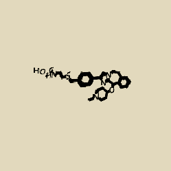 CN1CCC(OC2c3ccccc3CCn3cc(-c4ccc(CSCCNC(=O)O)cc4)nc32)CC1